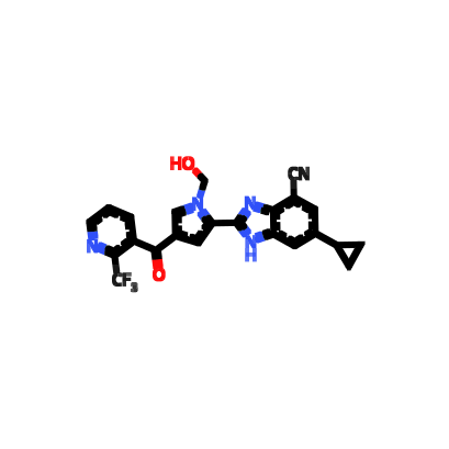 N#Cc1cc(C2CC2)cc2[nH]c(-c3cc(C(=O)c4cccnc4C(F)(F)F)cn3CO)nc12